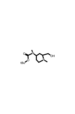 CN1CCC(N(C)C(=O)OC(C)(C)C)CC1CO